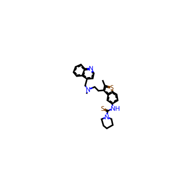 Cc1sc2ccc(NC(=S)N3CCCCC3)cc2c1CCN(C)Cc1ccnc2ccccc12